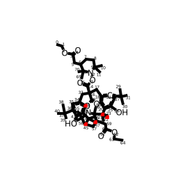 CCOC(=O)CC1CCC(C)(C)N(OC(=O)C(Cc2cc(C(C)(C)C)c(O)c(C(C)(C)C)c2)(Cc2cc(C(C)(C)C)c(O)c(C(C)(C)C)c2)C(=O)ON2C(C)(C)CCC(CC(=O)OCC)C2(C)C)C1(C)C